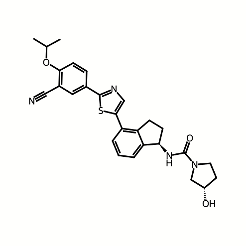 CC(C)Oc1ccc(-c2ncc(-c3cccc4c3CC[C@H]4NC(=O)N3CC[C@H](O)C3)s2)cc1C#N